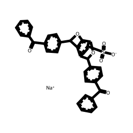 O=C(c1ccccc1)c1ccc(C2Oc3c(S(=O)(=O)[O-])cc2c2c3OC2c2ccc(C(=O)c3ccccc3)cc2)cc1.[Na+]